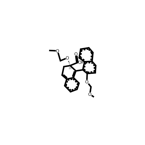 COCOc1ccc2ccccc2c1C1=c2ccccc2=CC[C@@]1(OCOC)C(=O)O